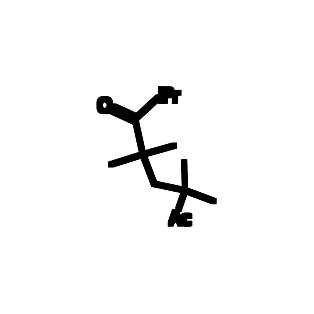 CC(=O)C(C)(C)CC(C)(C)C(=O)C(C)C